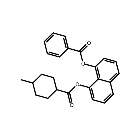 CC1CCC(C(=O)Oc2cccc3cccc(OC(=O)c4ccccc4)c23)CC1